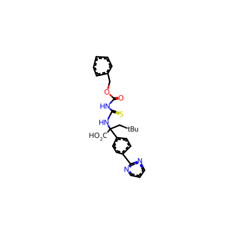 CC(C)(C)CC(NC(=S)NC(=O)OCc1ccccc1)(C(=O)O)c1ccc(-c2ncccn2)cc1